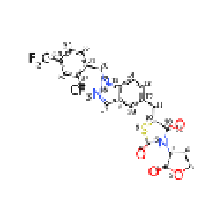 O=C1OCCC1N1C(=O)SC(=Cc2ccc3c(cnn3Cc3ccc(C(F)(F)F)cc3C(F)(F)F)c2)C1=O